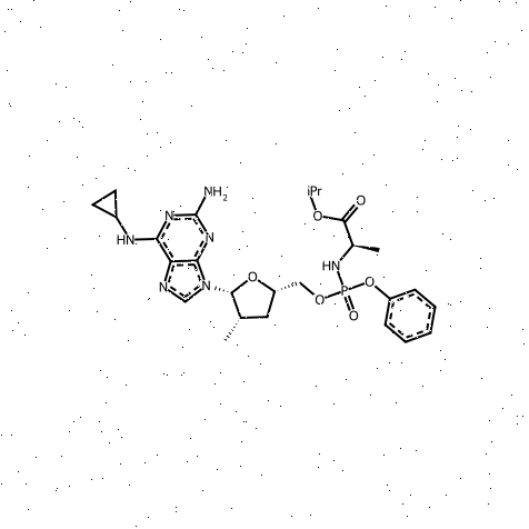 CC(C)OC(=O)[C@@H](C)NP(=O)(OC[C@@H]1C[C@H](C)[C@H](n2cnc3c(NC4CC4)nc(N)nc32)O1)Oc1ccccc1